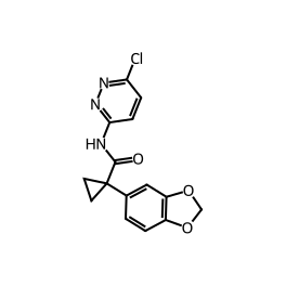 O=C(Nc1ccc(Cl)nn1)C1(c2ccc3c(c2)OCO3)CC1